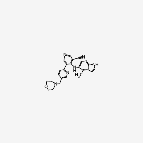 Cc1c(Nc2c(C#N)cncc2-c2ccc(CN3CCOCC3)cn2)ccc2[nH]ccc12